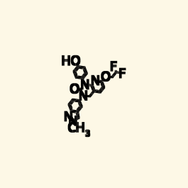 Cn1cc2cc(N3Cc4ccc(OCC(F)F)nc4N(c4ccc(O)cc4)C3=O)ccc2n1